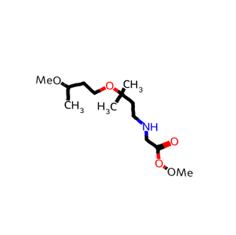 COOC(=O)CNCCC(C)(C)OCCC(C)OC